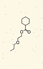 CC[CH]OCCOC(=O)C1CCCCC1